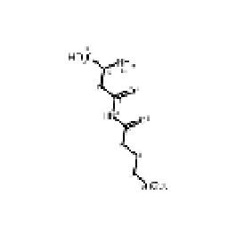 CCCCCCCCCCCC(=O)NC(=O)C[C@H](N)C(=O)O